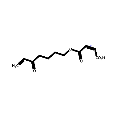 C=CC(=O)CCCCOC(=O)/C=C\C(=O)O